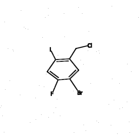 Fc1cc(I)c(CCl)cc1Br